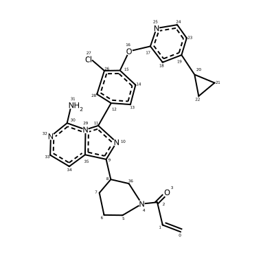 C=CC(=O)N1CCCC(c2nc(-c3ccc(Oc4cc(C5CC5)ccn4)c(Cl)c3)n3c(N)nccc23)C1